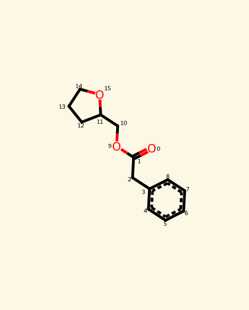 O=C(Cc1ccccc1)OCC1CCCO1